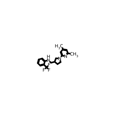 Cc1cc(C)nc(N2CCC(CNc3ccccc3C(F)(F)F)C2)c1